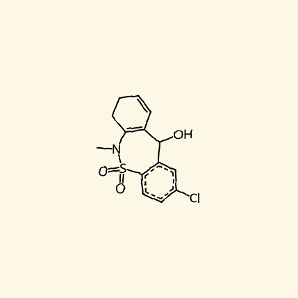 CN1C2=C(C=CCC2)C(O)c2cc(Cl)ccc2S1(=O)=O